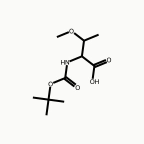 COC(C)C(NC(=O)OC(C)(C)C)C(=O)O